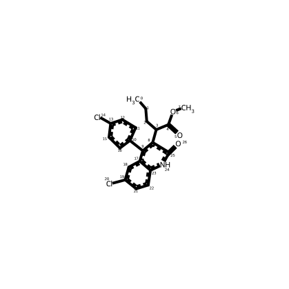 CCCC(C(=O)OC)c1c(-c2ccc(Cl)cc2)c2cc(Cl)ccc2[nH]c1=O